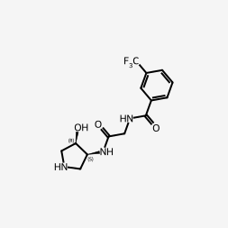 O=C(CNC(=O)c1cccc(C(F)(F)F)c1)N[C@H]1CNC[C@H]1O